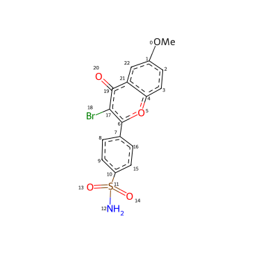 COc1ccc2oc(-c3ccc(S(N)(=O)=O)cc3)c(Br)c(=O)c2c1